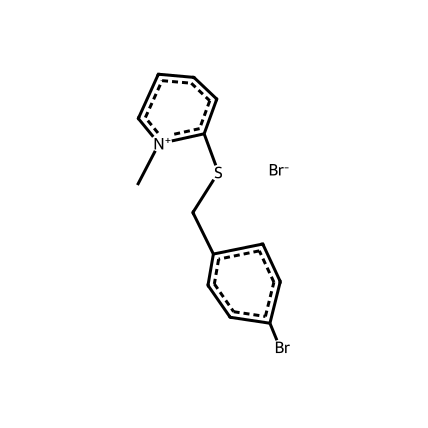 C[n+]1ccccc1SCc1ccc(Br)cc1.[Br-]